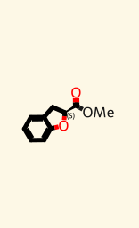 COC(=O)[C@@H]1Cc2ccccc2O1